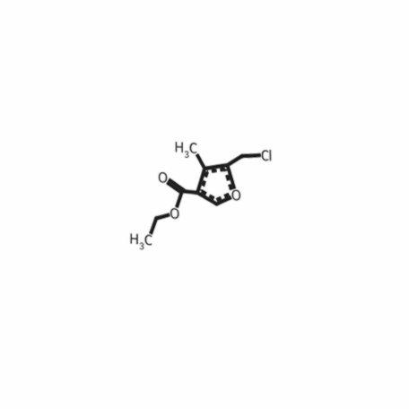 CCOC(=O)c1coc(CCl)c1C